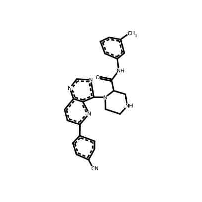 Cc1cccc(NC(=O)C2CNCCN2c2ncnc3ccc(-c4ccc(C#N)cc4)nc23)c1